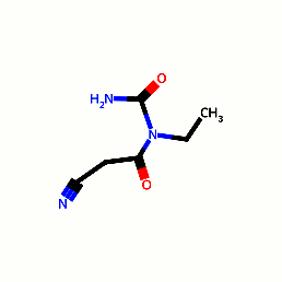 CCN(C(N)=O)C(=O)CC#N